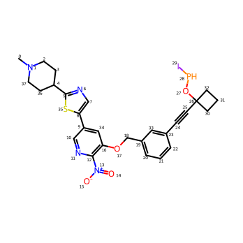 CN1CCC(c2ncc(-c3cnc([N+](=O)[O-])c(OCc4cccc(C#CC5(OPI)CCC5)c4)c3)s2)CC1